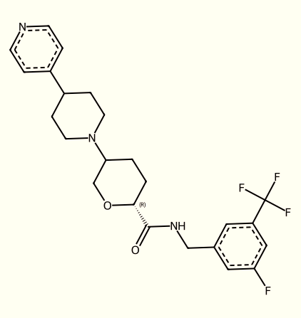 O=C(NCc1cc(F)cc(C(F)(F)F)c1)[C@H]1CCC(N2CCC(c3ccncc3)CC2)CO1